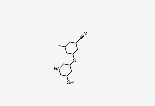 CC1CC(C#N)CC(OC2CNCC(O)C2)C1